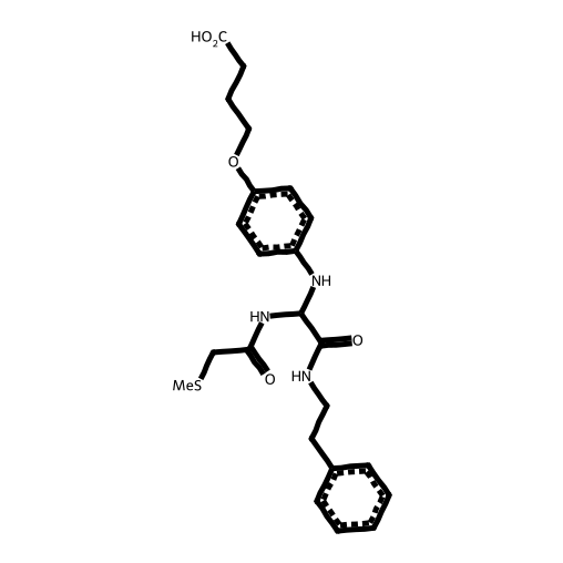 CSCC(=O)NC(Nc1ccc(OCCCC(=O)O)cc1)C(=O)NCCc1ccccc1